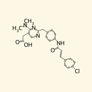 CN(C)c1nc(Cc2ccc(NC(=O)/C=C/c3ccc(Cl)cc3)cc2)ncc1CC(=O)O